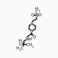 CC(C)(C)CNCC(=O)N1CCN(CCS(C)(=O)=O)CC1